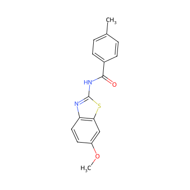 COc1ccc2nc(NC(=O)c3ccc(C)cc3)sc2c1